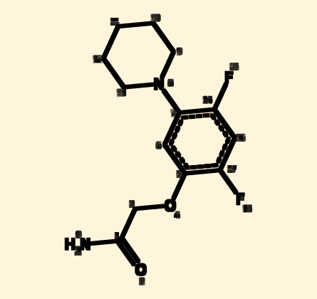 NC(=O)COc1cc(N2CCCCC2)c(F)cc1F